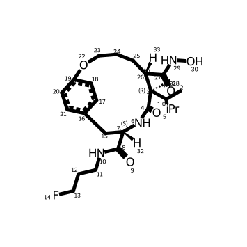 CC(C)C(C)[C@H]1C(=O)N[C@H](C(=O)NCCCF)Cc2ccc(cc2)OCCC[C@@H]1C(=O)NO